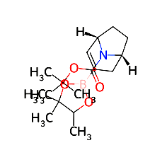 CC1OB(C2=C[C@@H]3CC[C@H](C2)N3C(=O)OC(C)(C)C)OC1(C)C